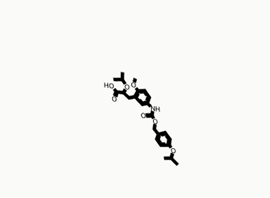 COc1ccc(NC(=O)OCc2ccc(OC(C)C)cc2)cc1CC(OC(C)C)C(=O)O